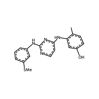 CSc1cccc(Nc2nccc(Nc3cc(O)ccc3C)n2)c1